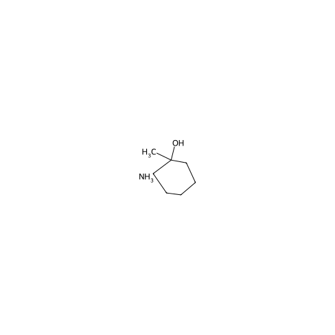 CC1(O)CCCCC1.N